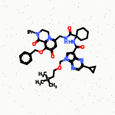 CC(C)N1CCn2c(CNC(=O)C3(NC(=O)c4cn(COCC[Si](C)(C)C)c5ncc(C6CC6)nc45)CCCCC3)cc(=O)c(OCc3ccccc3)c2C1=O